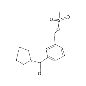 CS(=O)(=O)OCc1cccc(C(=O)N2CCCC2)c1